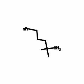 BS(C)(C)CCCCCC